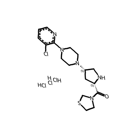 Cl.Cl.Cl.O=C([C@@H]1C[C@H](N2CCN(c3ncccc3Cl)CC2)CN1)N1CCSC1